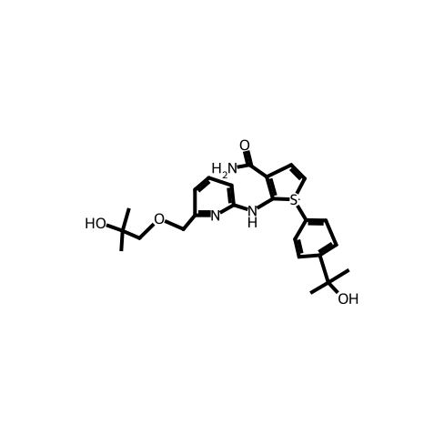 CC(C)(O)COCc1cccc(NC2=C(C(N)=O)C=C[S]2c2ccc(C(C)(C)O)cc2)n1